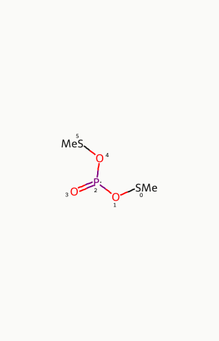 CSO[P](=O)OSC